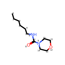 CCCCCCNC(=O)N1CCOCC1